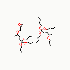 CCCCO[Si](CCC(C)OCCC)(OCCCC)OCCCC.CCCO[Si](CCC(C)OCC1CO1)(OCCC)OCCC